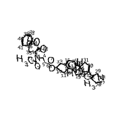 CC(=O)N(CCC(=O)O[C@H]1CC[C@@]2(C)C(=CC[C@@H]3[C@@H]2CC[C@]2(C)C(c4cccnc4)=CC[C@@H]32)C1)[C@@H](Cc1ccccc1)C(=O)O